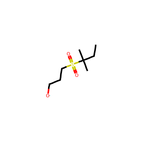 CCC(C)(C)S(=O)(=O)CCC[O]